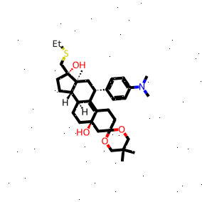 CCSC[C@]1(O)CC[C@H]2[C@@H]3CC[C@@]4(O)CC5(CCC4=C3[C@@H](c3ccc(N(C)C)cc3)C[C@@]21C)OCC(C)(C)CO5